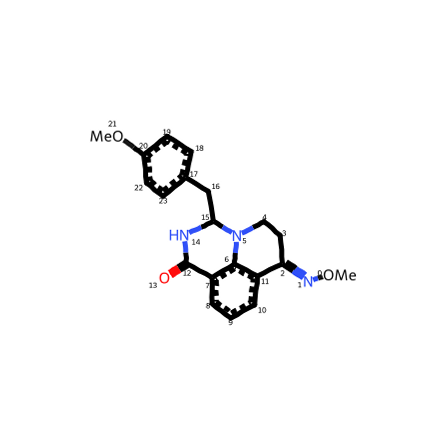 CO/N=C1\CCN2c3c(cccc31)C(=O)NC2Cc1ccc(OC)cc1